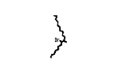 CCCCCCCCCCC(C)C(Br)CCCCCCC